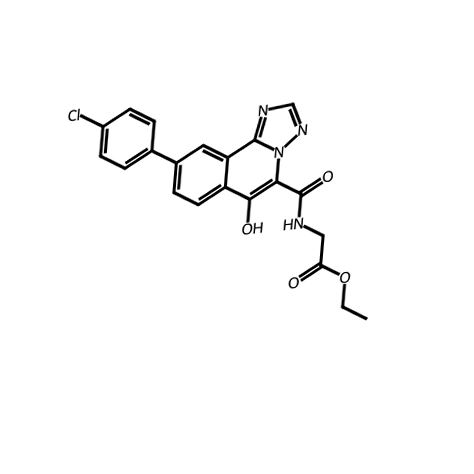 CCOC(=O)CNC(=O)c1c(O)c2ccc(-c3ccc(Cl)cc3)cc2c2ncnn12